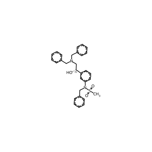 CS(=O)(=O)N(Cc1ccccc1)c1cccc([C@H](O)CN(Cc2ccccc2)Cc2ccccc2)c1